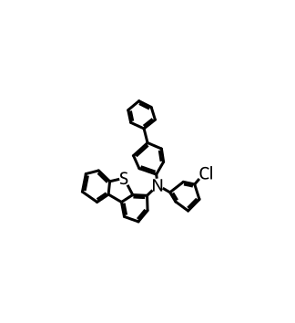 Clc1cccc(N(c2ccc(-c3ccccc3)cc2)c2cccc3c2sc2ccccc23)c1